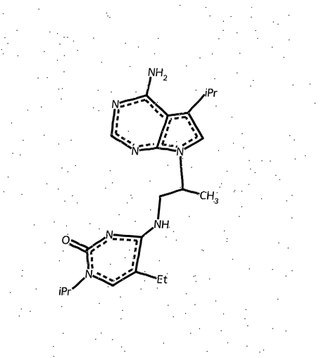 CCc1cn(C(C)C)c(=O)nc1NCC(C)n1cc(C(C)C)c2c(N)ncnc21